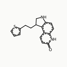 O=c1ccc2c3c(ccc2[nH]1)NCC3CCc1cccs1